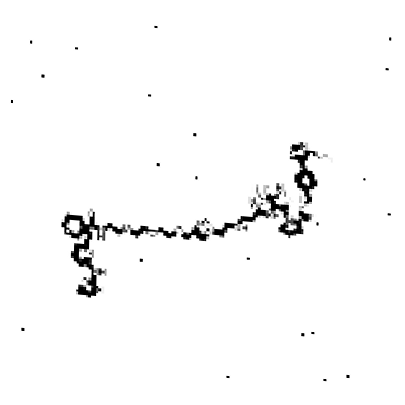 Cc1ncsc1-c1ccc(CNC(=O)[C@@H]2CCCN2C(=O)C(NC(=O)CCNCCn2cc(COCCOCCOCCNC(=O)C3(Cc4cccc(Nc5nccs5)n4)CCCCC3)nn2)C(C)(C)C)cc1